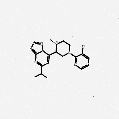 C[C@@H]1CCN(c2ncccc2Cl)CC1c1cc(C(F)F)nc2ncnn12